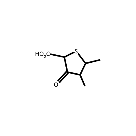 CC1SC(C(=O)O)C(=O)C1C